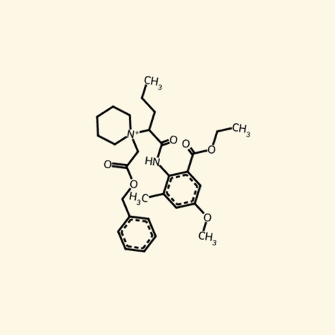 CCCC(C(=O)Nc1c(C)cc(OC)cc1C(=O)OCC)[N+]1(CC(=O)OCc2ccccc2)CCCCC1